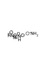 NC[C@H]1CC[C@H](c2ccc(NC(=O)c3nnc(Nc4ccccc4F)o3)cc2)CC1